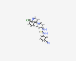 N#Cc1cccc(NC(=S)NC2CCN(c3ccnc4c(Cl)cccc34)CC2)c1